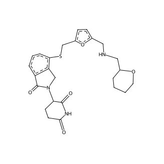 O=C1CCC(N2Cc3c(SCc4ccc(CNCC5CCCCO5)o4)cccc3C2=O)C(=O)N1